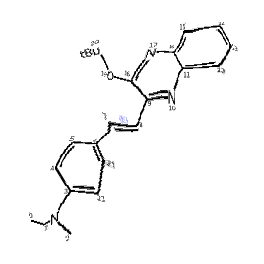 CN(C)c1ccc(/C=C/c2nc3ccccc3nc2OC(C)(C)C)cc1